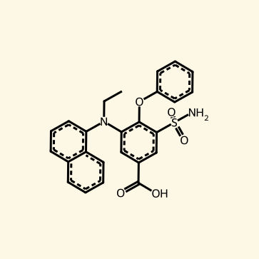 CCN(c1cc(C(=O)O)cc(S(N)(=O)=O)c1Oc1ccccc1)c1cccc2ccccc12